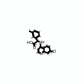 Cc1cccc(C(Nc2ccnc3cc(Cl)ccc23)C(=O)O)c1